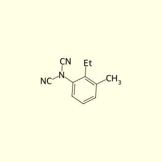 CCc1c(C)cccc1N(C#N)C#N